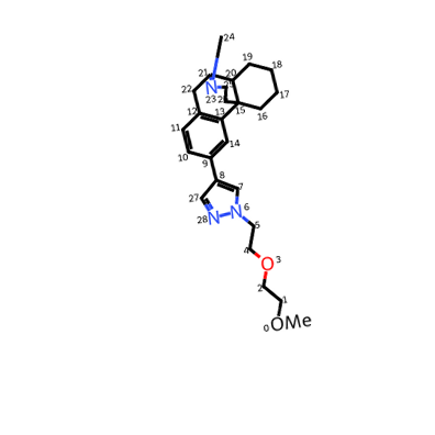 COCCOCCn1cc(-c2ccc3c(c2)C24CCCCC2C(C3)N(C)CC4)cn1